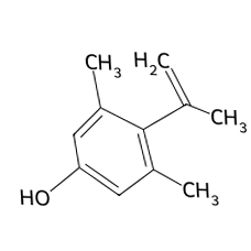 C=C(C)c1c(C)cc(O)cc1C